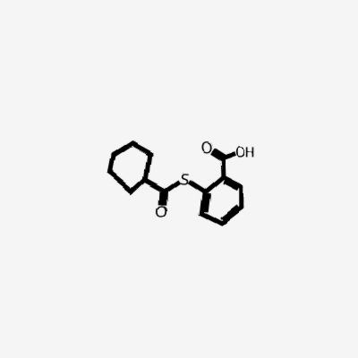 O=C(O)c1ccccc1SC(=O)C1CCCCC1